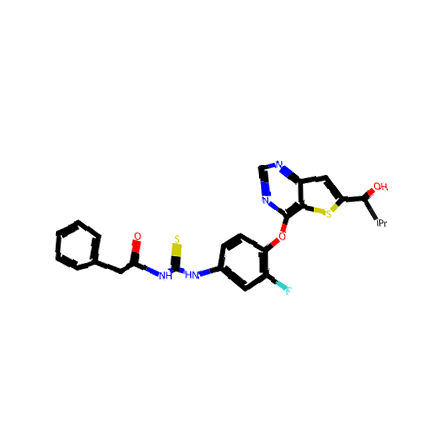 CC(C)C(O)c1cc2ncnc(Oc3ccc(NC(=S)NC(=O)Cc4ccccc4)cc3F)c2s1